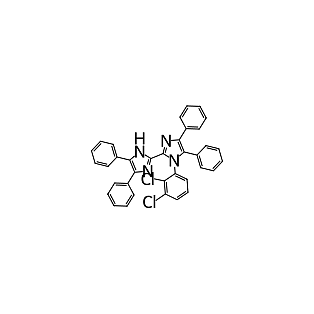 Clc1cccc(-n2c(-c3nc(-c4ccccc4)c(-c4ccccc4)[nH]3)nc(-c3ccccc3)c2-c2ccccc2)c1Cl